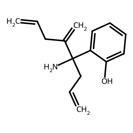 C=CCC(=C)C(N)(CC=C)c1ccccc1O